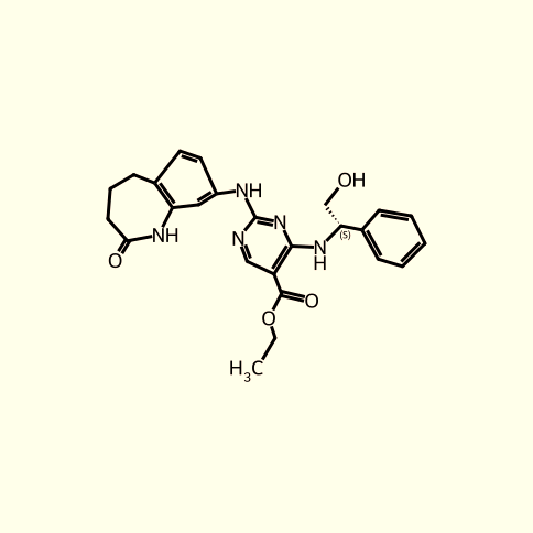 CCOC(=O)c1cnc(Nc2ccc3c(c2)NC(=O)CCC3)nc1N[C@H](CO)c1ccccc1